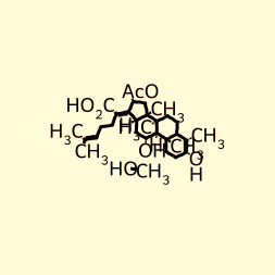 CC(=O)O[C@H]1C[C@@]2(C)[C@H](C[C@@H](O)[C@@H]3[C@@]4(C)CC[C@@H](O)[C@@H](C)C4CC[C@@]32C)C1=C(CCC=C(C)C)C(=O)O.CO